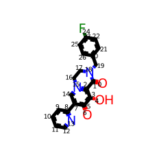 O=C1c2c(O)c(=O)c(-c3ccccn3)cn2CCN1Cc1ccc(F)cc1